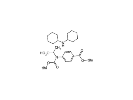 C1CCC(NC2CCCCC2)CC1.C[C@@H](C(=O)O)N(C(=O)OC(C)(C)C)c1ccc(C(=O)OC(C)(C)C)cc1